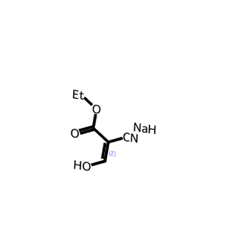 CCOC(=O)/C(C#N)=C\O.[NaH]